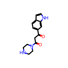 O=C(CC(=O)N1CCNCC1)c1ccc2cc[nH]c2c1